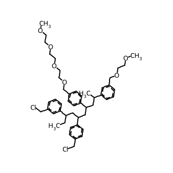 CCC(CC(CC(CC(C)c1cccc(COCCOC)c1)c1ccc(COCCOCCOCCOC)cc1)c1ccc(CCl)cc1)c1cccc(CCl)c1